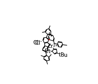 CCC1C=C(C(C)(C)C)C=[C]1[Zr+2](=[C](c1ccc(C)cc1)c1ccc(C)cc1)[CH]1c2cc(-c3c(C)cc(C)cc3C)ccc2-c2ccc(-c3c(C)cc(C)cc3C)cc21.[Cl-].[Cl-]